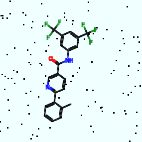 Cc1ccccc1-c1ccc(C(=O)Nc2cc(C(F)(F)F)cc(C(F)(F)F)c2)cn1